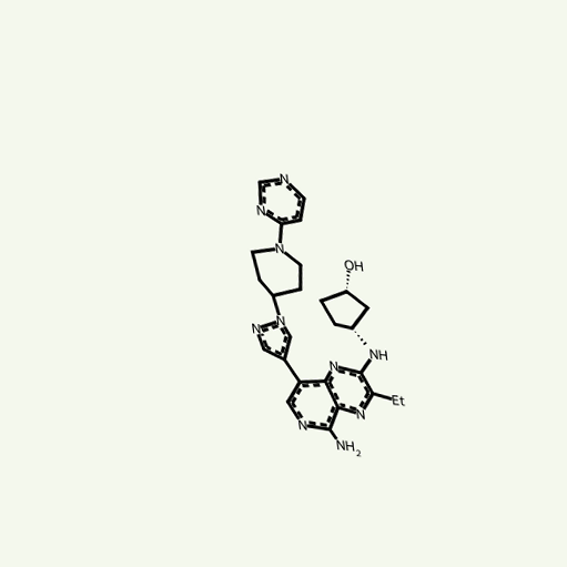 CCc1nc2c(N)ncc(-c3cnn(C4CCN(c5ccncn5)CC4)c3)c2nc1N[C@@H]1CC[C@H](O)C1